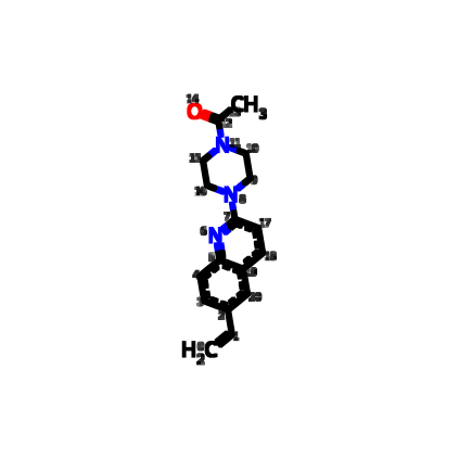 C=Cc1ccc2nc(N3CCN(C(C)=O)CC3)ccc2c1